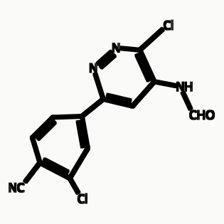 N#Cc1ccc(-c2cc(NC=O)c(Cl)nn2)cc1Cl